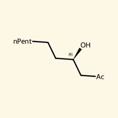 CCCCCCC[C@@H](O)CC(C)=O